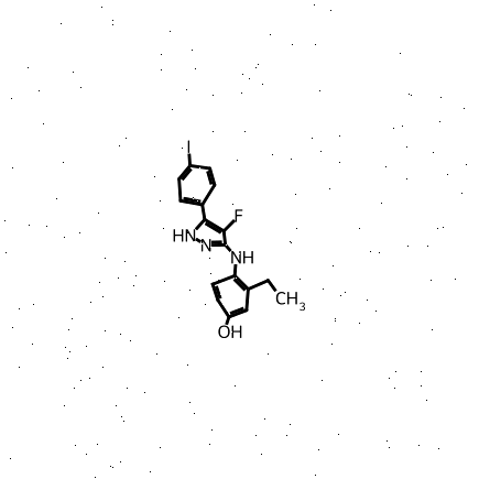 CCc1cc(O)ccc1Nc1n[nH]c(-c2ccc(I)cc2)c1F